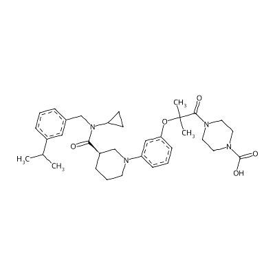 CC(C)c1cccc(CN(C(=O)[C@@H]2CCCN(c3cccc(OC(C)(C)C(=O)N4CCN(C(=O)O)CC4)c3)C2)C2CC2)c1